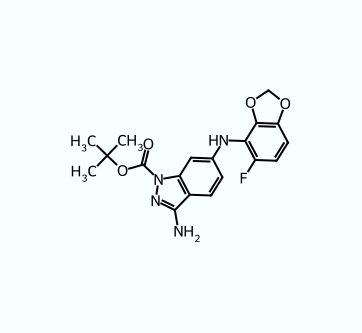 CC(C)(C)OC(=O)n1nc(N)c2ccc(Nc3c(F)ccc4c3OCO4)cc21